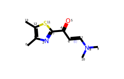 Cc1nc(C(=O)/C=C/N(C)C)sc1C